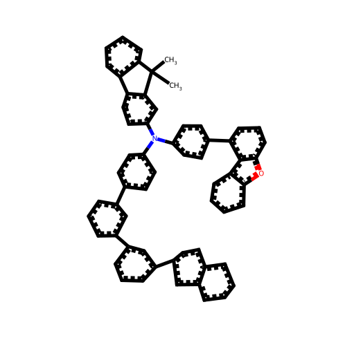 CC1(C)c2ccccc2-c2ccc(N(c3ccc(-c4cccc(-c5cccc(-c6ccc7ccccc7c6)c5)c4)cc3)c3ccc(-c4cccc5oc6ccccc6c45)cc3)cc21